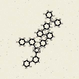 c1ccc(-c2cccc(-c3nc(-c4cccc(-c5ccccc5)c4)n(-c4ccc(-c5ccccc5-c5ccccc5-c5ccc(N(c6ccccc6)c6ccccc6)cc5)cc4)n3)c2)cc1